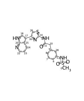 CS(=O)(=O)Nc1cccc(CC(=O)Nc2nc(-c3c[nH]c4ncccc34)cs2)c1